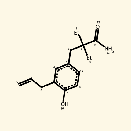 C=CCc1cc(CC(CC)(CC)C(N)=O)ccc1O